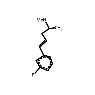 CNC(C)C/C=C/c1cccc(F)c1